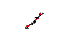 CCOCC(=O)NCCOCCOCCOc1ccc(/C=C/c2ccc(/C=C/c3ccc(O)cc3)cc2OC)cc1